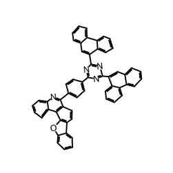 c1ccc2c(c1)cc(-c1nc(-c3ccc(-c4nc5ccccc5c5c4ccc4c6ccccc6oc45)cc3)nc(-c3cc4ccccc4c4ccccc34)n1)c1ccccc12